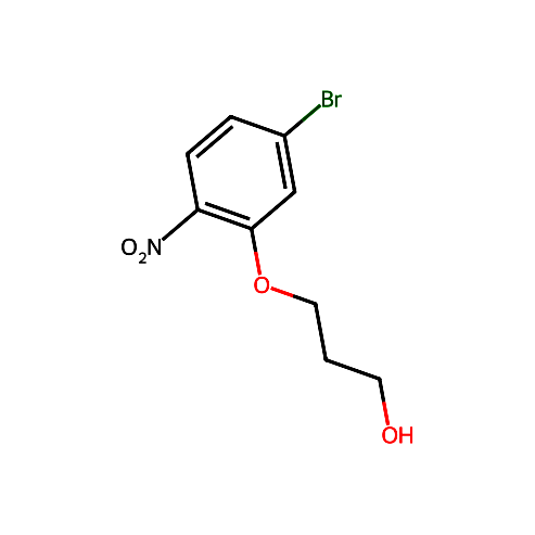 O=[N+]([O-])c1ccc(Br)cc1OCCCO